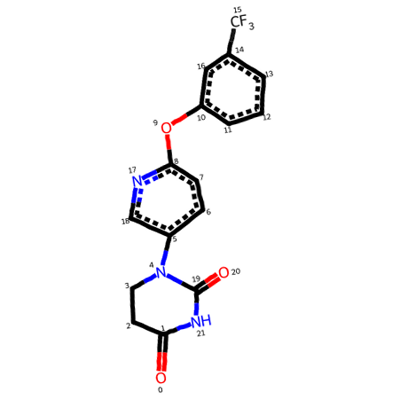 O=C1CCN(c2ccc(Oc3cccc(C(F)(F)F)c3)nc2)C(=O)N1